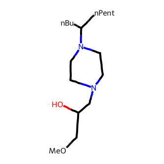 CCCCCC(CCCC)N1CCN(CC(O)COC)CC1